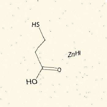 I.O=C(O)CCS.[Zn]